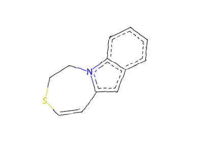 C1=Cc2cc3ccccc3n2CCS1